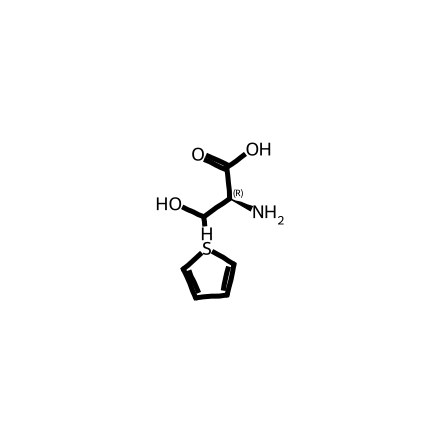 N[C@H](C(=O)O)C(O)[SH]1C=CC=C1